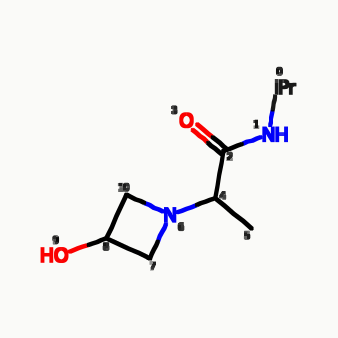 CC(C)NC(=O)C(C)N1CC(O)C1